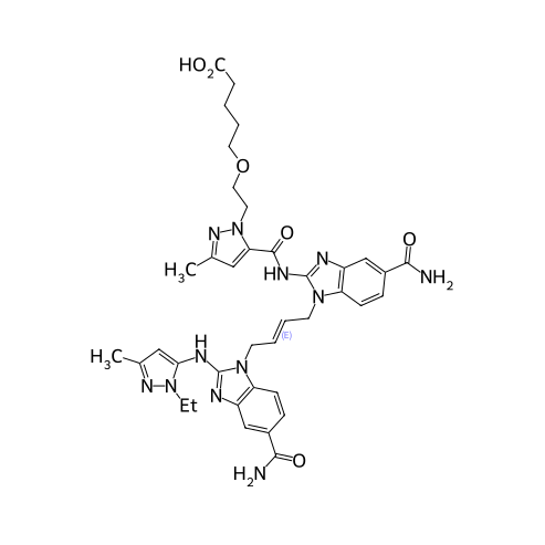 CCn1nc(C)cc1Nc1nc2cc(C(N)=O)ccc2n1C/C=C/Cn1c(NC(=O)c2cc(C)nn2CCOCCCCC(=O)O)nc2cc(C(N)=O)ccc21